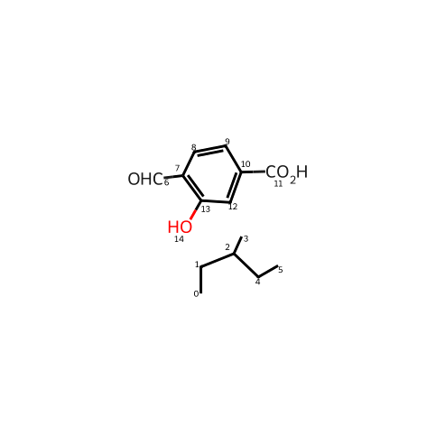 CCC(C)CC.O=Cc1ccc(C(=O)O)cc1O